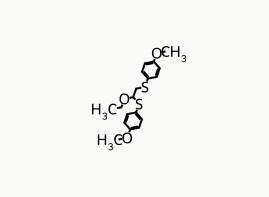 CCOC(CSc1ccc(OC)cc1)Sc1ccc(OC)cc1